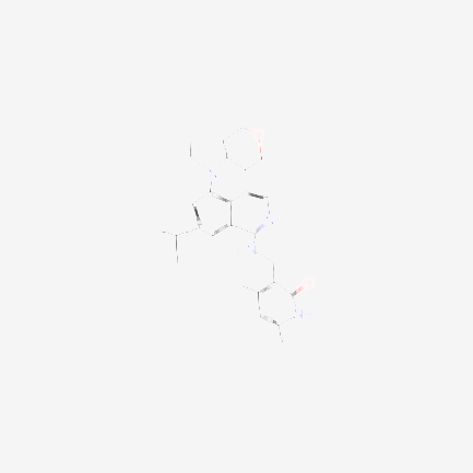 CCN(c1cc(C(C)C)cc2c(NCc3c(C)cc(C)[nH]c3=O)nccc12)C1CCOCC1